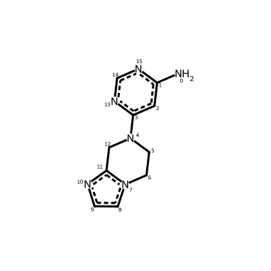 Nc1cc(N2CCn3ccnc3C2)ncn1